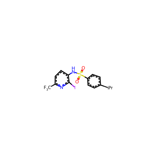 CC(C)c1ccc(S(=O)(=O)Nc2ccc(C(F)(F)F)nc2I)cc1